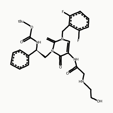 C=C1N(Cc2c(F)cccc2F)C=C(NC(=O)CNCCO)C(=O)N1C[C@H](NC(=O)OC(C)(C)C)c1ccccc1